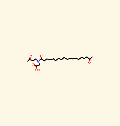 CC(=O)CCCCCCCCCCCCCCCCC(=O)N(CCC(C)=O)CC(=O)O